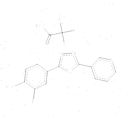 Cc1ccc(-c2nnc(-c3cccnc3)o2)cc1F.O=C(O)C(F)(F)F